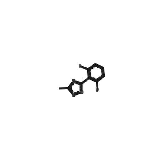 Cc1noc(-c2c(F)cccc2I)n1